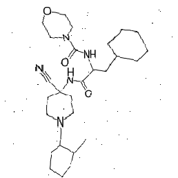 CC1CCCCC1N1CCC(C#N)(NC(=O)C(CC2CCCCC2)NC(=O)N2CCOCC2)CC1